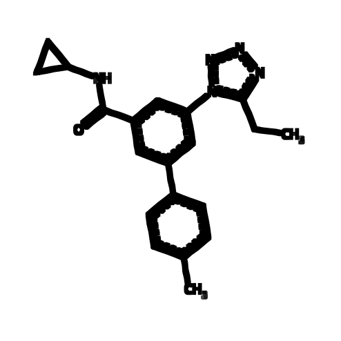 CCc1nnnn1-c1cc(C(=O)NC2CC2)cc(-c2ccc(C)cc2)c1